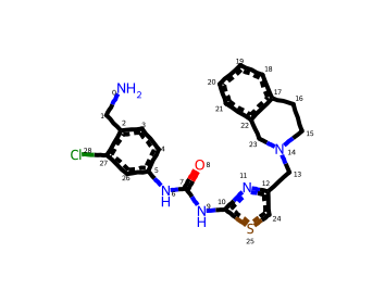 NCc1ccc(NC(=O)Nc2nc(CN3CCc4ccccc4C3)cs2)cc1Cl